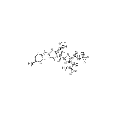 CN1CCN(Cc2ccc(C(F)(F)C3C[C@@H](C(=O)NC4(C#N)CC4)N(C(=O)C4(C)CC4)C3)c(C(F)(F)F)c2)CC1.Cl.Cl